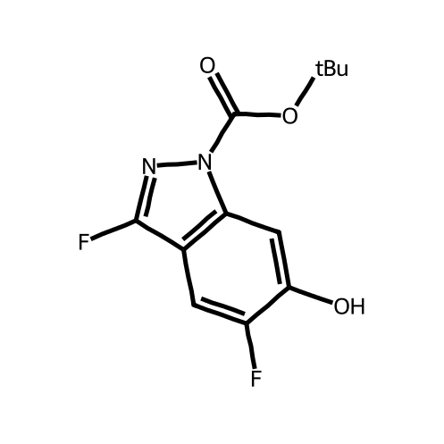 CC(C)(C)OC(=O)n1nc(F)c2cc(F)c(O)cc21